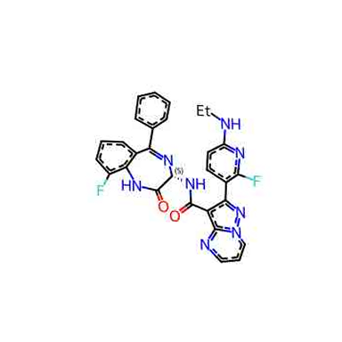 CCNc1ccc(-c2nn3cccnc3c2C(=O)N[C@H]2N=C(c3ccccc3)c3cccc(F)c3NC2=O)c(F)n1